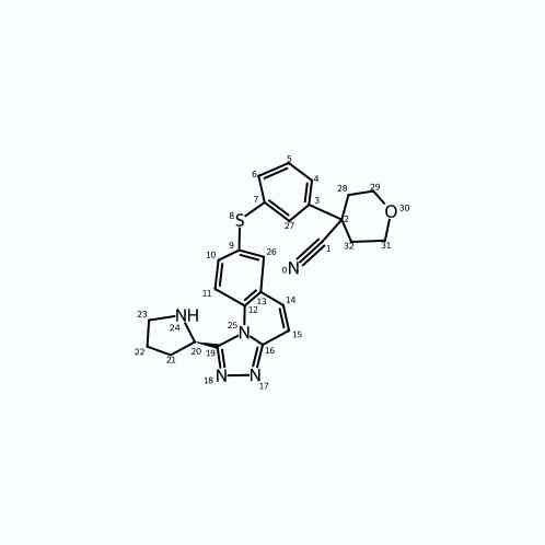 N#CC1(c2cccc(Sc3ccc4c(ccc5nnc([C@H]6CCCN6)n54)c3)c2)CCOCC1